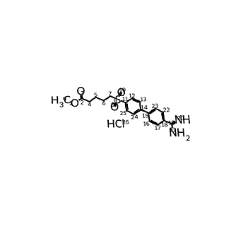 COC(=O)CCCCS(=O)(=O)c1ccc(-c2ccc(C(=N)N)cc2)cc1.Cl